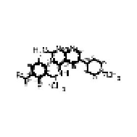 Cc1nc(N[C@H](C)c2cccc(C(F)F)c2F)c2cc(C3CCN(C)CC3)cnc2n1